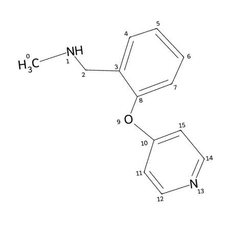 CNCc1ccccc1Oc1ccncc1